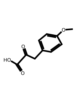 COc1ccc(CC(=O)C(=O)O)cc1